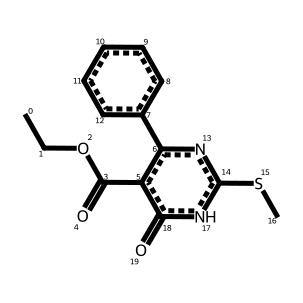 CCOC(=O)c1c(-c2ccccc2)nc(SC)[nH]c1=O